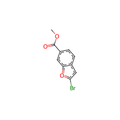 COC(=O)c1ccc2cc(Br)oc2c1